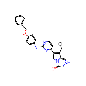 CCC1=C(c2ccnc(Nc3ccc(OCc4ccccc4)cc3)n2)CN2C(=O)CNC=C12